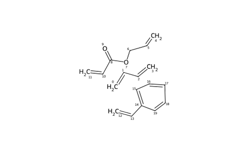 C=CC=C.C=CCOC(=O)C=C.C=Cc1ccccc1